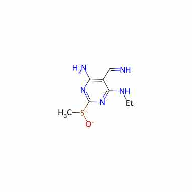 CCNc1nc([S+](C)[O-])nc(N)c1C=N